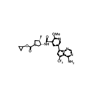 COc1ncc(-c2cc(C(F)(F)F)c3c(N)ncnn23)cc1C(=O)N[C@@H]1CN(C(=O)OC2CC2)C[C@@H]1F